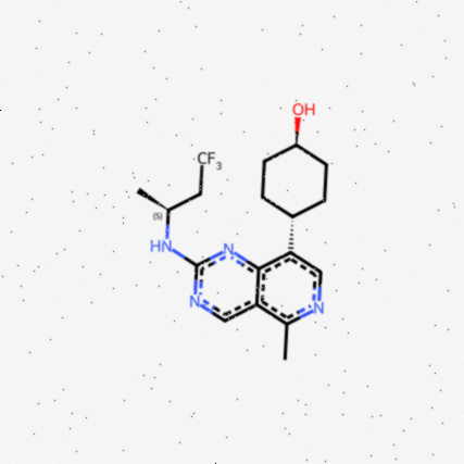 Cc1ncc([C@H]2CC[C@H](O)CC2)c2nc(N[C@@H](C)CC(F)(F)F)ncc12